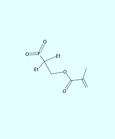 C=C(C)C(=O)OCC(CC)(CC)P(=O)=O